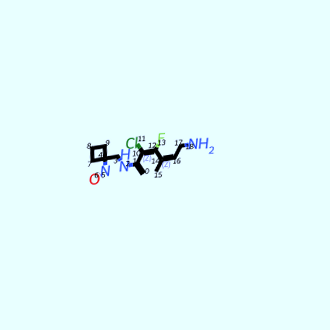 C=C(NCC1(N=O)CCC1)/C(Cl)=C(F)\C(C)=C/CN